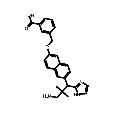 CC(C)(CN)C(c1ccc2cc(OCc3cccc(C(=O)O)c3)ccc2c1)c1ncc[nH]1